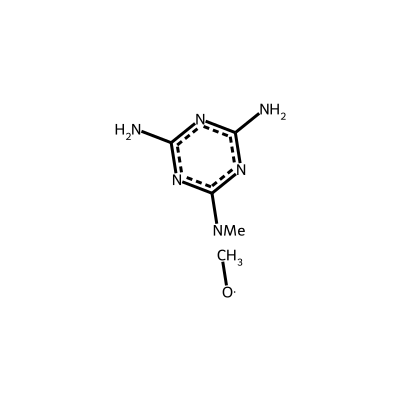 CNc1nc(N)nc(N)n1.C[O]